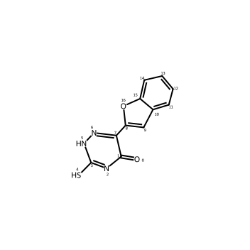 O=c1nc(S)[nH]nc1-c1cc2ccccc2o1